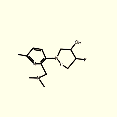 Cc1ccc(N2CCC(F)C(O)C2)c(CN(C)C)n1